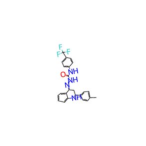 Cc1ccc(C2CC(=NNC(=O)Nc3ccc(C(F)(F)F)cc3)c3ccccc3N2)cc1